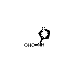 O=CNc1ccoc1